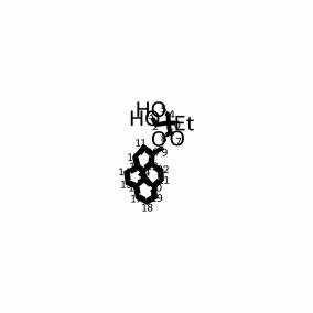 CCC(CO)(CO)C(=O)OCc1ccc2ccc3cccc4ccc1c2c34